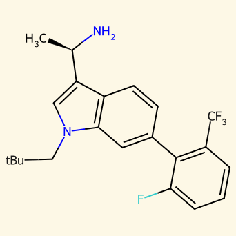 C[C@@H](N)c1cn(CC(C)(C)C)c2cc(-c3c(F)cccc3C(F)(F)F)ccc12